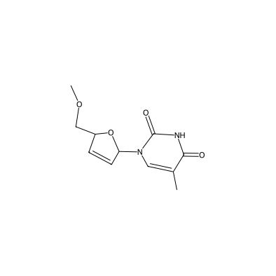 COCC1C=CC(n2cc(C)c(=O)[nH]c2=O)O1